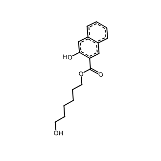 O=C(OCCCCCCO)c1cc2ccccc2cc1O